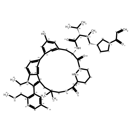 C=CC(=O)N1CC[C@H](CN(C)[C@H](C(=O)N[C@H]2Cc3cc(O)cc(c3)-c3ccc4c(c3)c(c(-c3cc(F)cnc3COC)n4CC)CC(C)(C)COC(=O)[C@@H]3CCCN(N3)C2=O)C(C)C)C1